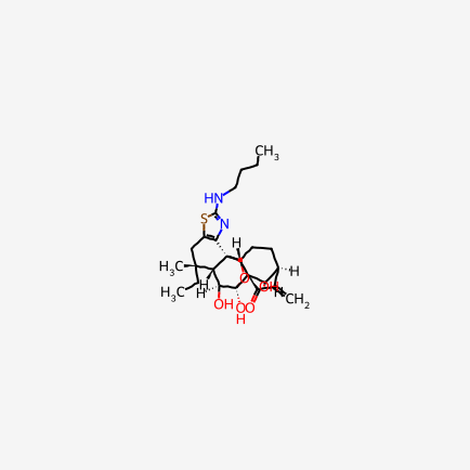 C=C1C(=O)[C@]23[C@H](O)[C@H]1CC[C@H]2[C@@]12CO[C@@]3(O)[C@@H](O)[C@@H]1[C@](C)(CC)Cc1sc(NCCCC)nc12